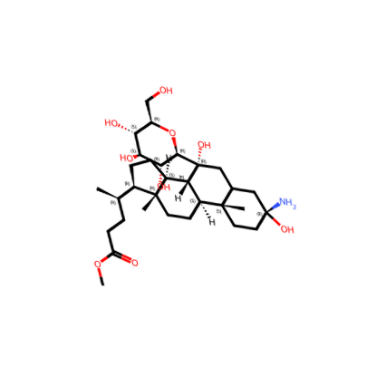 COC(=O)CC[C@@H](C)[C@H]1CC[C@H]2[C@H]3[C@H](CC[C@]12C)[C@@]1(C)CC[C@@](N)(O)CC1C[C@]3(O)[C@@H]1O[C@H](CO)[C@@H](O)[C@H](O)[C@H]1O